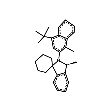 Cc1c(N2[C@@H](C)c3ccccc3C23CCCCC3)cc(C(C)(C)C)c2ccccc12